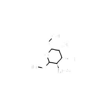 CC(=O)N[C@H]1C(OC(C)C)O[C@H](CO)[C@H](O)[C@@H]1O